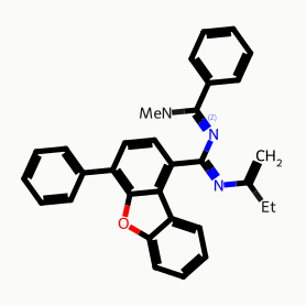 C=C(CC)N=C(/N=C(\NC)c1ccccc1)c1ccc(-c2ccccc2)c2oc3ccccc3c12